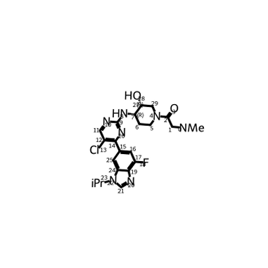 CNCC(=O)N1CC[C@@H](Nc2ncc(Cl)c(-c3cc(F)c4ncn(C(C)C)c4c3)n2)[C@H](O)C1